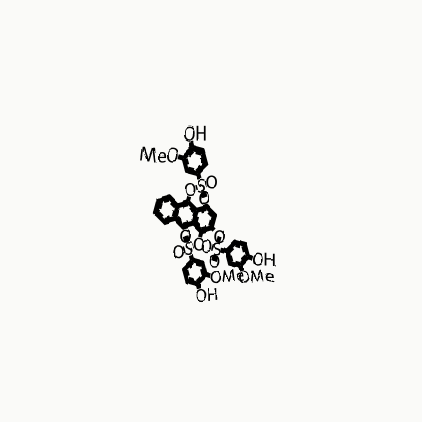 COc1cc(S(=O)(=O)Oc2ccc3c(OS(=O)(=O)c4ccc(O)c(OC)c4)c4ccccc4cc3c2OS(=O)(=O)c2ccc(O)c(OC)c2)ccc1O